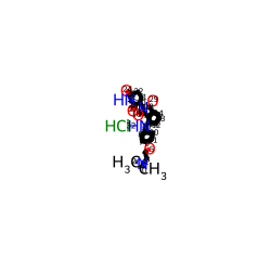 CN(C)CCOc1ccc(Nc2cccc3c2C(=O)N(C2CCC(=O)NC2=O)C3=O)cc1.Cl